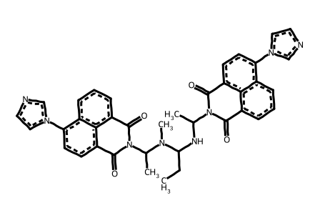 CCC(NC(C)N1C(=O)c2cccc3c(-n4ccnc4)ccc(c23)C1=O)N(C)C(C)N1C(=O)c2cccc3c(-n4ccnc4)ccc(c23)C1=O